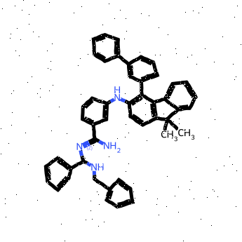 CC1(C)c2ccccc2-c2c1ccc(Nc1cccc(/C(N)=N/C(NCc3ccccc3)c3ccccc3)c1)c2-c1cccc(-c2ccccc2)c1